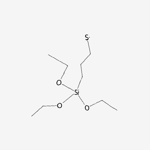 CCO[Si](CCC[S])(OCC)OCC